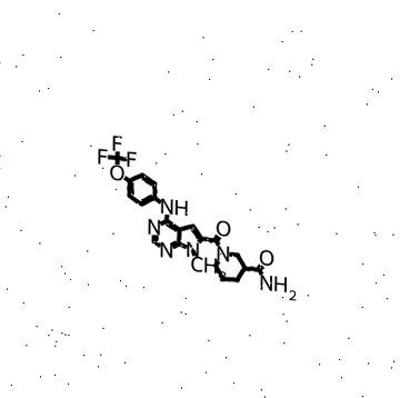 Cn1c(C(=O)N2CCCC(C(N)=O)C2)cc2c(Nc3ccc(OC(F)(F)F)cc3)ncnc21